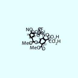 COC(=O)c1ccc([N+](=O)[O-])c(C(C(=O)O)C(=O)O)c1.COC(=O)c1ccc([N+](=O)[O-])c(OS(=O)(=O)C(F)(F)F)c1